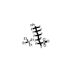 CCCC(F)(F)C(F)(F)C(F)(F)C(F)(F)C(F)(F)S(=O)(=O)[O-].CC[N+](CC)(CC)CC